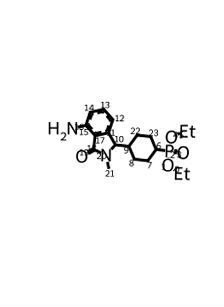 CCOP(=O)(OCC)C1CCC(C2c3cccc(N)c3C(=O)N2C)CC1